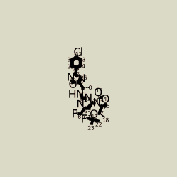 C[C@H](Nc1nc(C(F)F)cc(N2C(=O)OCC2[C@@H](C)OC(C)(C)C)n1)c1nc(-c2ccc(Cl)cc2)no1